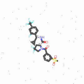 CS(=O)(=O)c1cccc(C(=O)N2CC(F)(F)C[C@@H]2C(=O)N[C@@H](c2ccc(C(F)(F)F)cc2F)C2CC2)c1